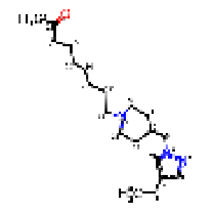 CCc1cnn(CC2CCN(CCCCCCCC(C)=O)CC2)c1